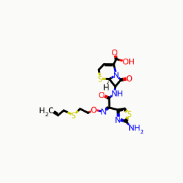 C=CCSCCO/N=C(\C(=O)NC1C(=O)N2C(C(=O)O)=CCS[C@H]12)c1csc(N)n1